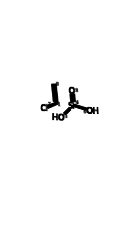 C=CCl.O=[Si](O)O